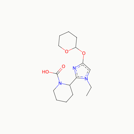 CCn1cc(OC2CCCCO2)nc1C1CCCCN1C(=O)O